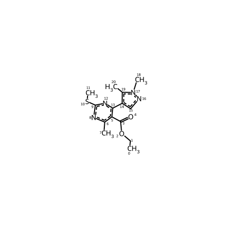 CCOC(=O)c1c(C)nc(SC)nc1-c1cnn(C)c1C